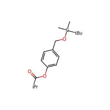 CC(C)C(=O)Oc1ccc(CO[Si](C)(C)C(C)(C)C)cc1